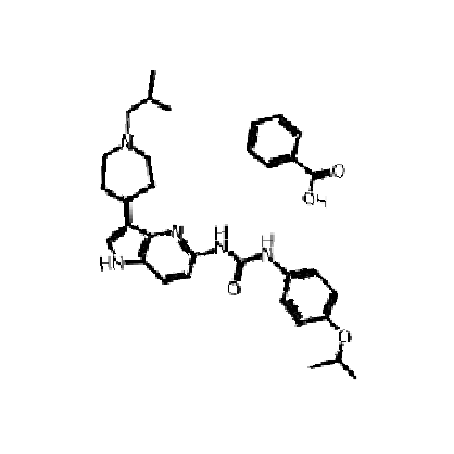 CC(C)CN1CCC(c2c[nH]c3ccc(NC(=O)Nc4ccc(OC(C)C)cc4)nc23)CC1.O=C(O)c1ccccc1